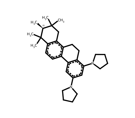 C[C@H]1C(C)(C)Cc2c(ccc3c2CCc2c-3cc(N3CCCC3)cc2N2CCCC2)C1(C)C